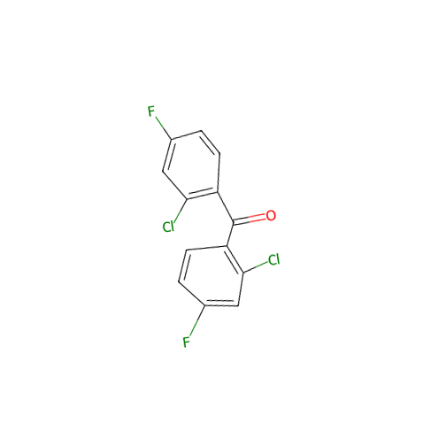 O=C(c1ccc(F)cc1Cl)c1ccc(F)cc1Cl